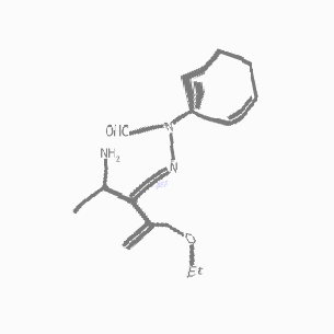 C=C(OCC)/C(=N/N(C=O)C1=CCCC=C1)C(C)N